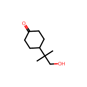 CC(C)(CO)C1CCC(=O)CC1